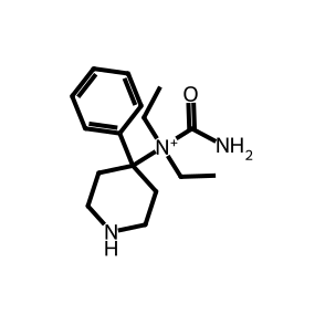 CC[N+](CC)(C(N)=O)C1(c2ccccc2)CCNCC1